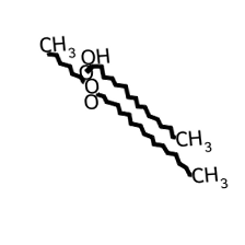 CCCCCCCCCCCCCCCC(=O)O.CCCCCCCCCCCCCCCCCC(=O)OCCCCCCCC